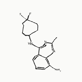 Cc1nc(NC2CCC(F)(F)CC2)c2cccc(N)c2n1